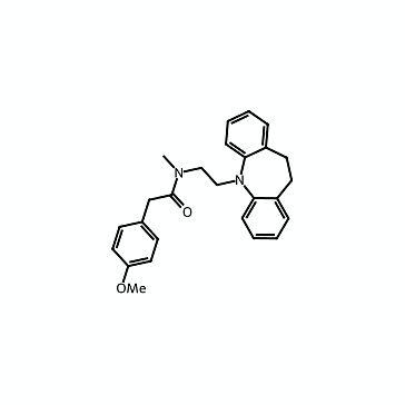 COc1ccc(CC(=O)N(C)CCN2c3ccccc3CCc3ccccc32)cc1